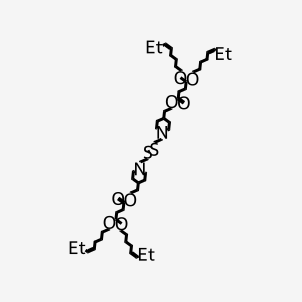 CC/C=C\CCCCOC(CCC(=O)OCCC1CCN(CCSSCCN2CCC(CCOC(=O)CCC(OCCCC/C=C\CC)OCCCC/C=C\CC)CC2)CC1)OCCCC/C=C\CC